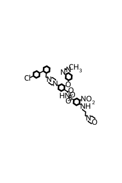 Cn1cnc2cc(Oc3cc(N4CCN(Cc5ccccc5-c5ccc(Cl)cc5)CC4)ccc3C(=O)NS(=O)(=O)c3ccc(NCCCN4CCOCC4)c([N+](=O)[O-])c3)ccc21